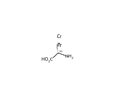 CC(C)[C@H](N)C(=O)O.[Cr]